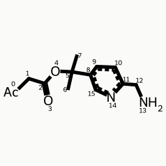 CC(=O)CC(=O)OC(C)(C)c1ccc(CN)nc1